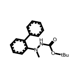 CN(NC(=O)OC(C)(C)C)c1ccccc1-c1ccccc1